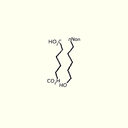 CCCCCCCCCCCCCCO.O=C(O)CCCCC(=O)O